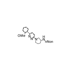 CCCCCCCCCNC1CCCN(c2ccc(-c3ccccc3OC)nn2)C1